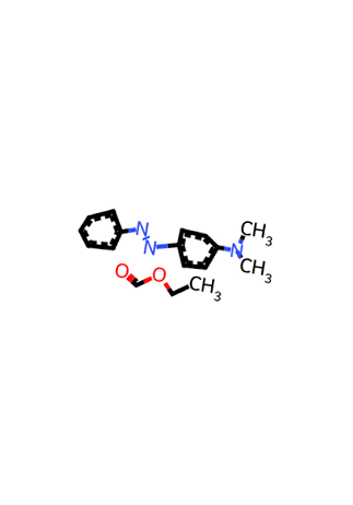 CCOC=O.CN(C)c1ccc(N=Nc2ccccc2)cc1